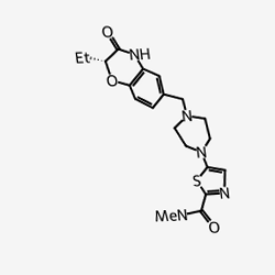 CC[C@H]1Oc2ccc(CN3CCN(c4cnc(C(=O)NC)s4)CC3)cc2NC1=O